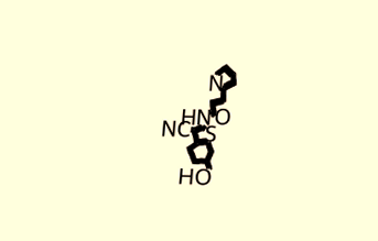 N#Cc1c(NC(=O)C=Cc2ccccn2)sc2c1CCC(CO)C2